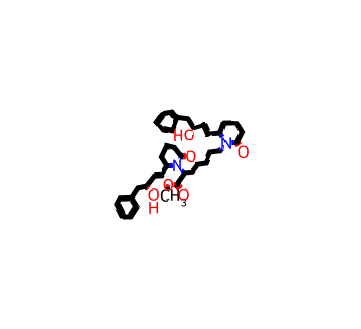 COC(=O)C(CCCCCN1C(=O)CCCC1C=CC(O)Cc1ccccc1)N1C(=O)CCCC1C=CC(O)Cc1ccccc1